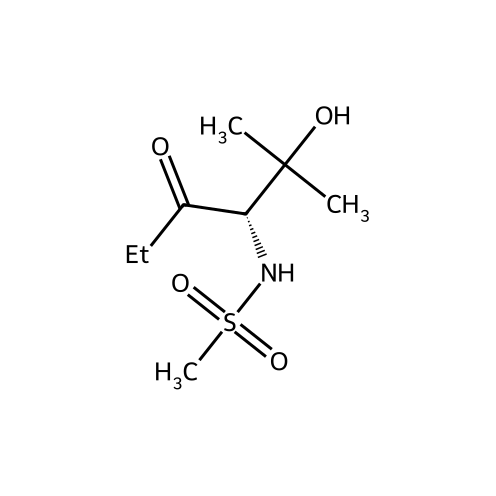 CCC(=O)[C@@H](NS(C)(=O)=O)C(C)(C)O